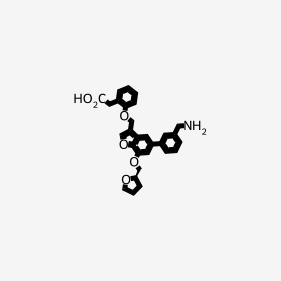 NCc1cccc(-c2cc(OC[C@H]3CCCO3)c3occ(COc4ccccc4CC(=O)O)c3c2)c1